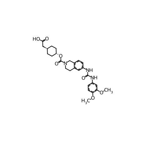 COc1ccc(NC(=O)Nc2ccc3c(c2)CCN(C(=O)O[C@H]2CC[C@H](CC(=O)O)CC2)C3)cc1OC